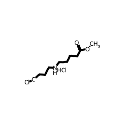 COC(=O)CCCCNCCCCCl.Cl